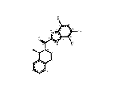 C[C@@H]1c2cccnc2CCN1C(=O)c1nc2c(F)cc(F)c(Cl)c2[nH]1